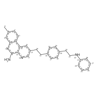 Cc1ccc2c(c1)nc(N)c1ncc(CCc3ccc(CCNc4ccccc4)cc3)cc12